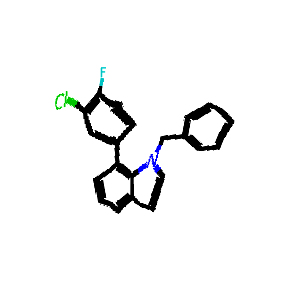 Fc1ccc(-c2cccc3[c]cn(Cc4ccccc4)c23)cc1Cl